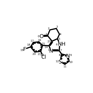 O=C1CCCC2NC(c3nccs3)=NC(c3ccc(F)cc3Cl)=C12